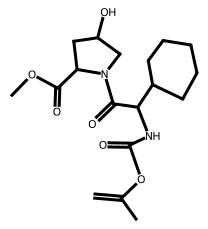 C=C(C)OC(=O)NC(C(=O)N1CC(O)CC1C(=O)OC)C1CCCCC1